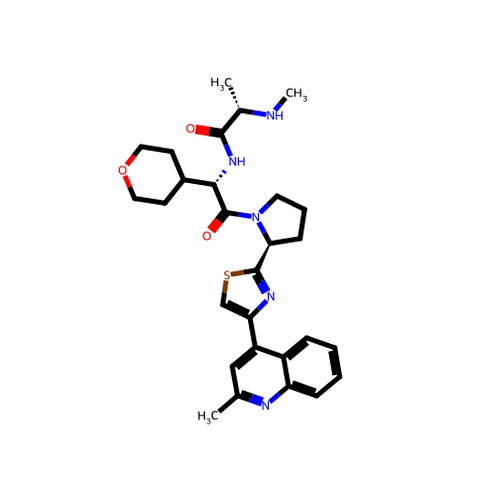 CN[C@@H](C)C(=O)N[C@H](C(=O)N1CCC[C@H]1c1nc(-c2cc(C)nc3ccccc23)cs1)C1CCOCC1